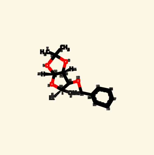 CC[C@]1(OC)O[C@@H]2OC(C)(C)O[C@H]2C1OCc1ccccc1